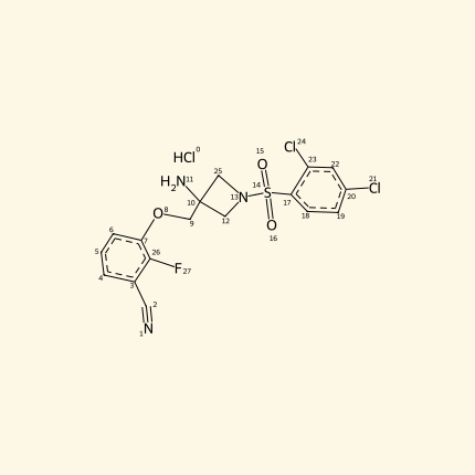 Cl.N#Cc1cccc(OCC2(N)CN(S(=O)(=O)c3ccc(Cl)cc3Cl)C2)c1F